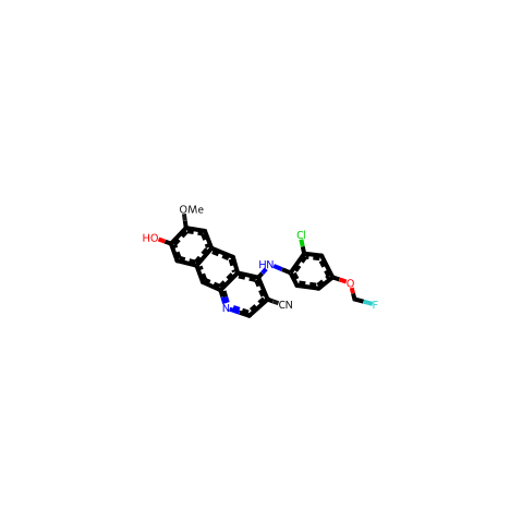 COc1cc2cc3c(Nc4ccc(OCF)cc4Cl)c(C#N)cnc3cc2cc1O